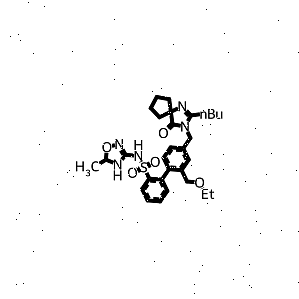 CCCCC1=NC2(CCCC2)C(=O)N1Cc1ccc(-c2ccccc2S(=O)(=O)NC2=NOC(C)N2)c(COCC)c1